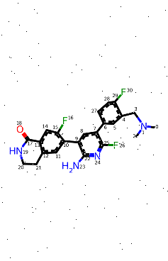 CN(C)Cc1cc(-c2cc(-c3cc4c(cc3F)C(=O)NCC4)c(N)nc2F)ccc1F